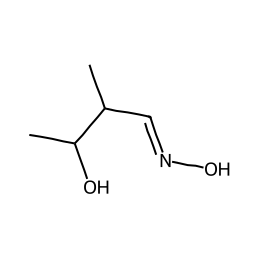 CC(O)C(C)/C=N/O